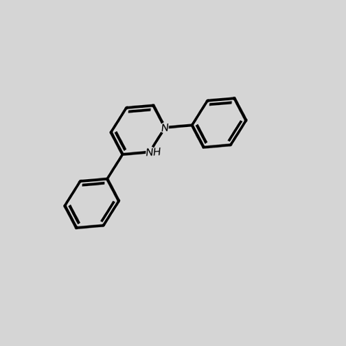 C1=CN(c2ccccc2)NC(c2ccccc2)=C1